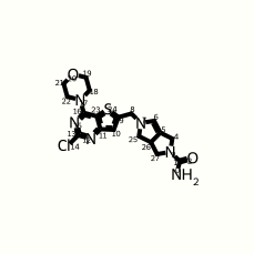 NC(=O)N1CC2=CN(Cc3cc4nc(Cl)nc(N5CCOCC5)c4s3)CC2C1